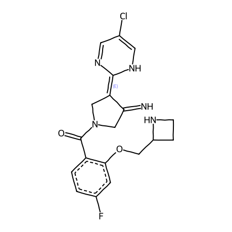 N=C1CN(C(=O)c2ccc(F)cc2OCC2CCN2)C/C1=C1\N=CC(Cl)=CN1